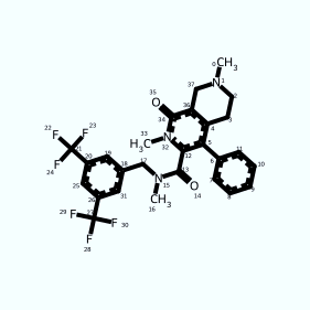 CN1CCc2c(-c3ccccc3)c(C(=O)N(C)Cc3cc(C(F)(F)F)cc(C(F)(F)F)c3)n(C)c(=O)c2C1